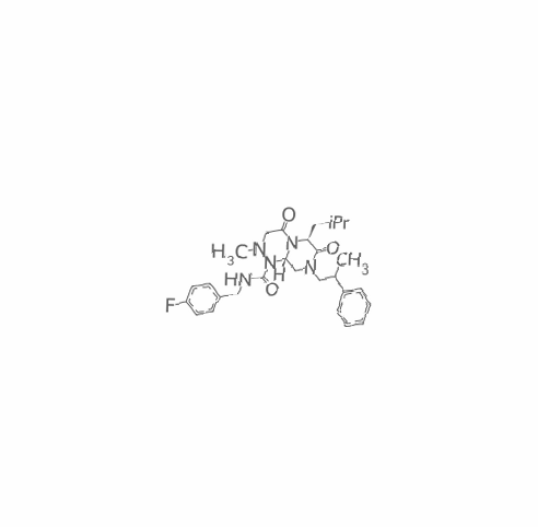 CC(C)C[C@H]1C(=O)N(CC(C)c2ccccc2)C[C@H]2N1C(=O)CN(C)N2C(=O)NCc1ccc(F)cc1